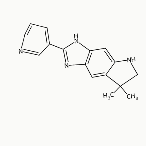 CC1(C)CNc2cc3[nH]c(-c4cccnc4)nc3cc21